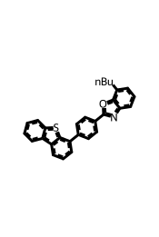 CCCCc1cccc2nc(-c3ccc(-c4cccc5c4sc4ccccc45)cc3)oc12